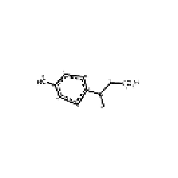 CC(CC(=O)O)c1ccc(C#N)cc1